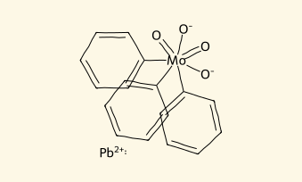 [O]=[Mo](=[O])([O-])([O-])([c]1ccccc1)([c]1ccccc1)[c]1ccccc1.[Pb+2]